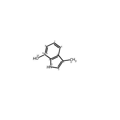 Cc1c[nH]c2c1ccc[n+]2O